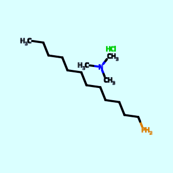 CCCCCCCCCCCCP.CN(C)C.Cl